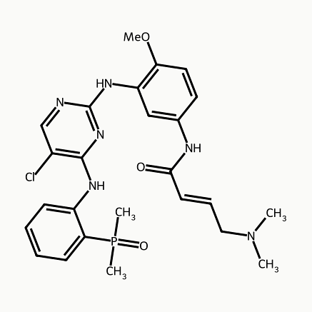 COc1ccc(NC(=O)/C=C/CN(C)C)cc1Nc1ncc(Cl)c(Nc2ccccc2P(C)(C)=O)n1